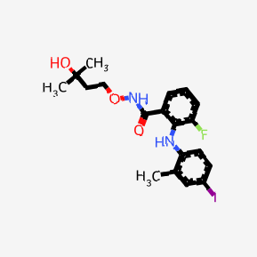 Cc1cc(I)ccc1Nc1c(F)cccc1C(=O)NOCCC(C)(C)O